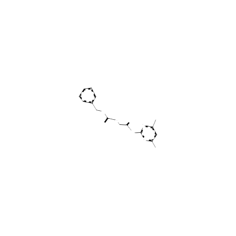 Cc1cc(C)nc(OC(=O)CNC(=O)OCc2ccccc2)n1